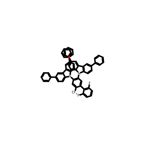 Fc1cccc(F)c1-c1cc(-n2c3ccc(-c4ccccc4)cc3c3cc(-c4ccccc4)ccc32)c(-n2c3ccc(-c4ccccc4)cc3c3cc(-c4ccccc4)ccc32)cc1C(F)(F)F